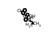 CN(C)CCOc1cccc2c1[C@]1(O)[C@H](O)C[C@@H](c3ccccc3)[C@]1(c1ccc(Cl)cc1)O2